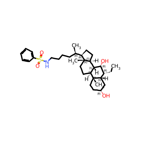 CC[C@H]1[C@@H](O)[C@@H]2[C@H](CC[C@]3(C)[C@@H]([C@H](C)CCCCNS(=O)(=O)c4ccccc4)CC[C@@H]23)[C@@]2(C)CC[C@@H](O)C[C@@H]12